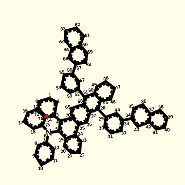 c1ccc(-c2c(N(c3ccccc3)c3ccccc3)c3ccccc3c3cc4c(-c5cccc(-c6ccc7ccccc7c6)c5)c5ccccc5c(-c5cccc(-c6ccc7ccccc7c6)c5)c4cc23)cc1